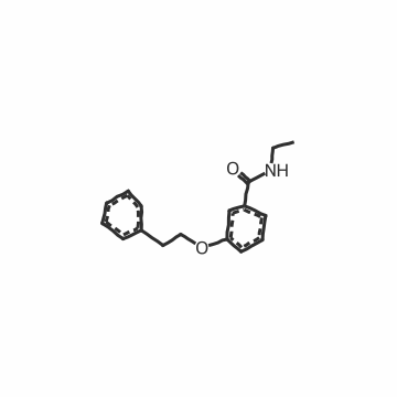 CCNC(=O)c1cccc(OCCc2ccccc2)c1